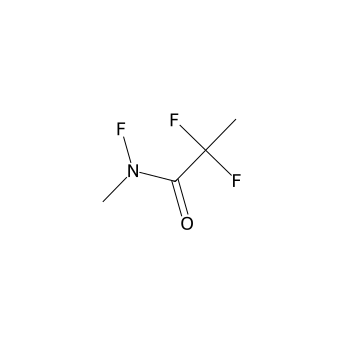 CN(F)C(=O)C(C)(F)F